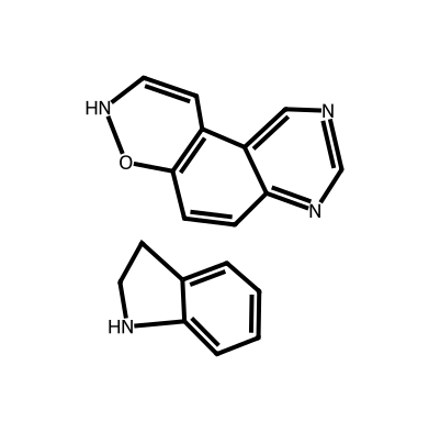 C1=Cc2c(ccc3ncncc23)ON1.c1ccc2c(c1)CCN2